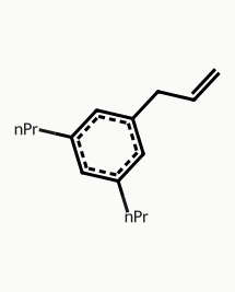 C=CCc1cc(CCC)cc(CCC)c1